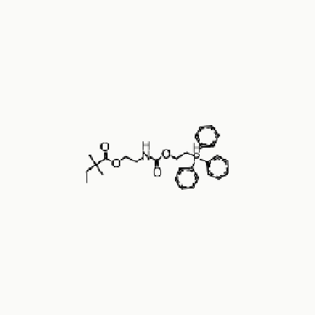 CCC(C)(C)C(=O)OCCNC(=O)OCC[PH](c1ccccc1)(c1ccccc1)c1ccccc1